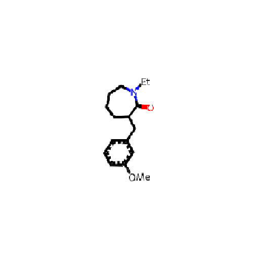 CCN1CCCCC(Cc2cccc(OC)c2)C1=O